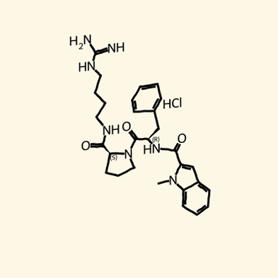 Cl.Cn1c(C(=O)N[C@H](Cc2ccccc2)C(=O)N2CCC[C@H]2C(=O)NCCCCNC(=N)N)cc2ccccc21